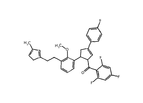 COc1c(CCC2=CC(C)=CC2)cccc1C1CC(c2ccc(F)cc2)=CC1C(=O)c1c(F)cc(F)cc1F